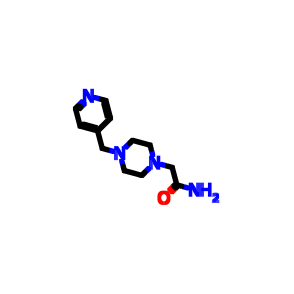 NC(=O)CN1CCN(Cc2ccncc2)CC1